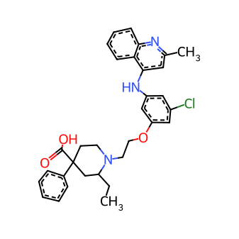 CCC1CC(C(=O)O)(c2ccccc2)CCN1CCOc1cc(Cl)cc(Nc2cc(C)nc3ccccc23)c1